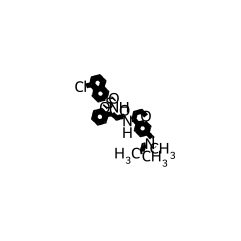 CC(C)CN(C)Cc1ccc2c(c1)OCCC2NC(=O)CC(NS(=O)(=O)c1ccc2c(Cl)cccc2c1)c1ccccc1